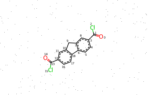 O=C(Cl)c1ccc2c(c1)Cc1cc(C(=O)Cl)ccc1-2